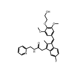 COc1cc(C=C2C(C)=C(CC(=O)NCc3ccccn3)c3cc(F)ccc32)cc(OC)c1OCCO